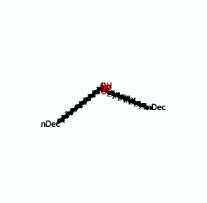 CCCCCCCCCCCCCCCCCCCCCCCCCCCCCC(O)OC(=O)CCCCCCCCCCCCCCCCCCCCCCCCC